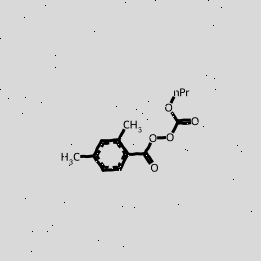 CCCOC(=O)OOC(=O)c1ccc(C)cc1C